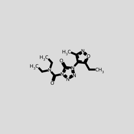 CCc1onc(C)c1-n1nnn(C(=O)N(CC)CC)c1=O